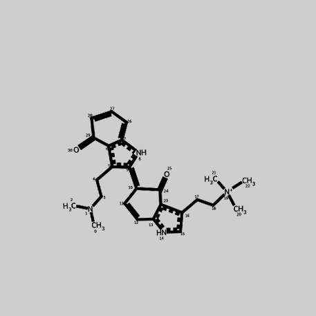 CN(C)CCc1c2c([nH]c1=C1C=Cc3[nH]cc(CC[N+](C)(C)C)c3C1=O)=CC=CC2=O